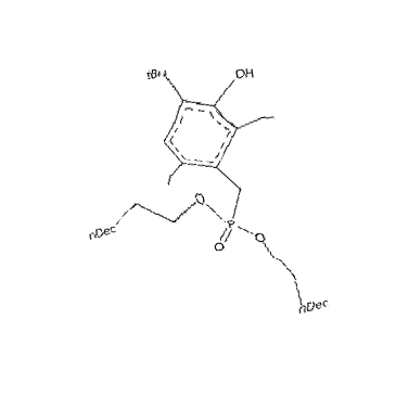 CCCCCCCCCCCCOP(=O)(Cc1c(C)cc(C(C)(C)C)c(O)c1C)OCCCCCCCCCCCC